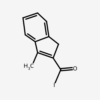 CC1=C(C(=O)I)Cc2ccccc21